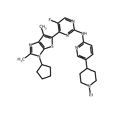 CCN1CCC(c2ccc(Nc3ncc(F)c(-c4sc5c(nc(C)n5C5CCCC5)c4C)n3)nc2)CC1